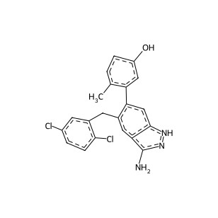 Cc1ccc(O)cc1-c1cc2[nH]nc(N)c2cc1Cc1cc(Cl)ccc1Cl